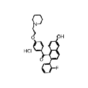 Cl.O=C(c1ccc(OCCN2CCCCC2)cc1)c1c(-c2ccccc2F)ccc2cc(O)ccc12